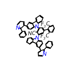 N#Cc1c(-n2c3ccccc3c3cc(-c4cccnc4-c4ccccc4)ccc32)cc(-c2c(C(F)(F)F)cccc2C(F)(F)F)cc1-n1c2ccccc2c2cc(-c3cccnc3-c3ccccc3)ccc21